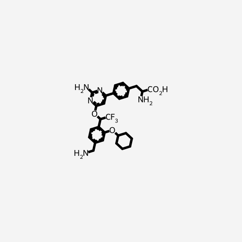 NCc1ccc(C(Oc2cc(-c3ccc(CC(N)C(=O)O)cc3)nc(N)n2)C(F)(F)F)c(OC2CCCCC2)c1